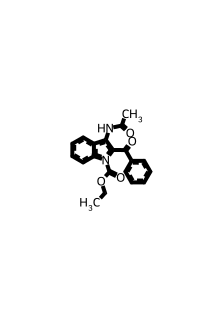 CCOC(=O)n1c(C(=O)c2ccccc2)c(NC(C)=O)c2ccccc21